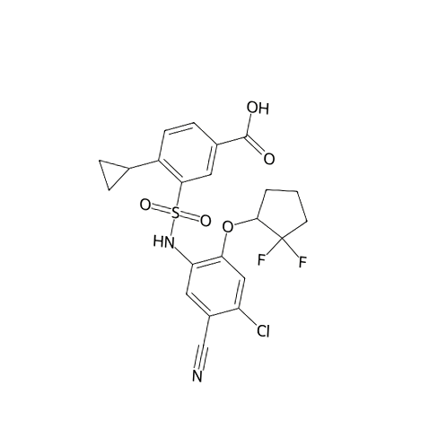 N#Cc1cc(NS(=O)(=O)c2cc(C(=O)O)ccc2C2CC2)c(OC2CCCC2(F)F)cc1Cl